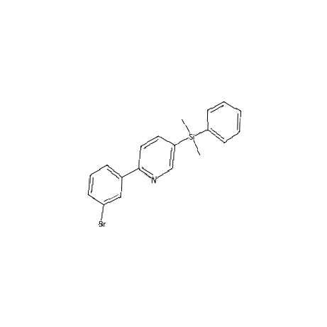 C[Si](C)(c1ccccc1)c1ccc(-c2cccc(Br)c2)nc1